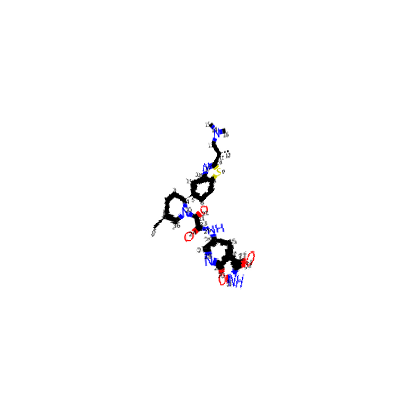 C[C@H]1CC[C@H](c2ccc3sc([C@@H](C)CN(C)C)nc3c2)N(C(=O)C(=O)Nc2cnc3o[nH]c(=O)c3c2)C1